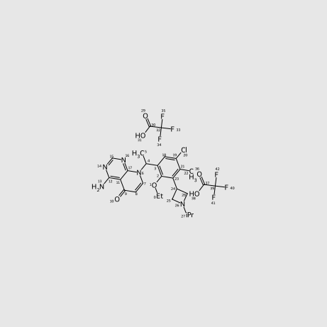 CCOc1c(C(C)n2ccc(=O)c3c(N)ncnc32)cc(Cl)c(C)c1C1CN(C(C)C)C1.O=C(O)C(F)(F)F.O=C(O)C(F)(F)F